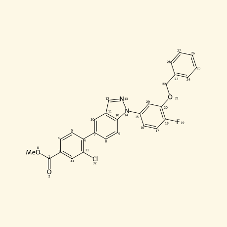 COC(=O)c1ccc(-c2ccc3c(cnn3-c3ccc(F)c(OCc4ccccc4)c3)c2)c(Cl)c1